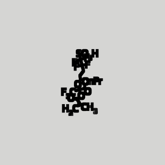 C=C(C)C(=O)OC(OCCCC(F)(F)C(F)(F)S(=O)(=O)O)(C(=O)OCCC)C(F)(F)F